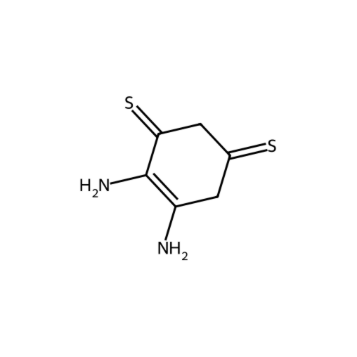 NC1=C(N)C(=S)CC(=S)C1